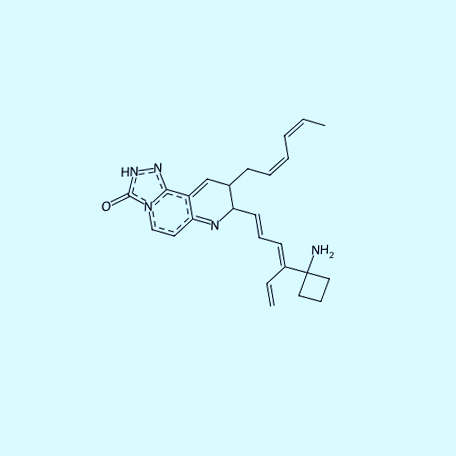 C=C/C(=C\C=C\C1N=c2ccn3c(=O)[nH]nc3c2=CC1C/C=C\C=C/C)C1(N)CCC1